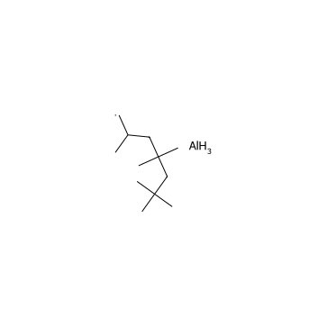 [AlH3].[CH2]C(C)CC(C)(C)CC(C)(C)C